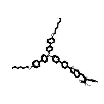 CCCCCCOc1ccc(-c2ccc(N(c3ccc(-c4ccc(OCCCCCC)cc4)cc3)c3ccc(-c4ccc(-c5cc6ccc(/C=C(/C#N)C(=O)O)cc6o5)cc4)cc3)cc2)cc1